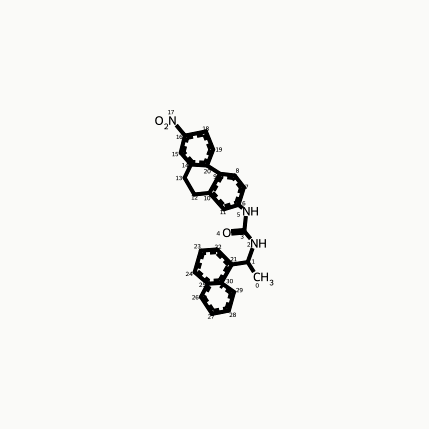 CC(NC(=O)Nc1ccc2c(c1)CCc1cc([N+](=O)[O-])ccc1-2)c1cccc2ccccc12